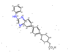 O=C(O)CC1CCC(c2ccc(-c3ccc4nc(Nc5ccccc5)cnc4c3)cc2)CC1